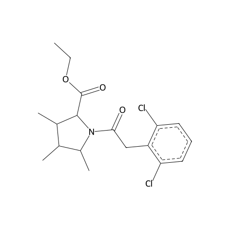 CCOC(=O)C1C(C)C(C)C(C)N1C(=O)Cc1c(Cl)cccc1Cl